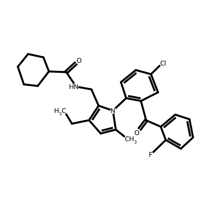 CCc1cc(C)n(-c2ccc(Cl)cc2C(=O)c2ccccc2F)c1CNC(=O)C1CCCCC1